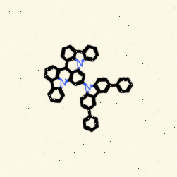 c1ccc(-c2ccc3c(c2)c2cc(-c4ccccc4)ccc2n3-c2cc3c4c(c2)-n2c5ccccc5c5cccc(c52)C4c2cccc4c5ccccc5n-3c24)cc1